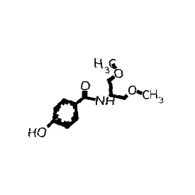 COCC(COC)NC(=O)c1ccc(O)cc1